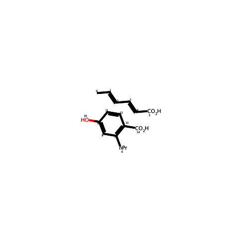 CC=CC=CC(=O)O.CCCc1cc(O)ccc1C(=O)O